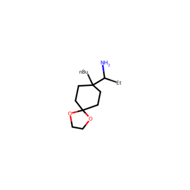 CCCCC1(C(N)CC)CCC2(CC1)OCCO2